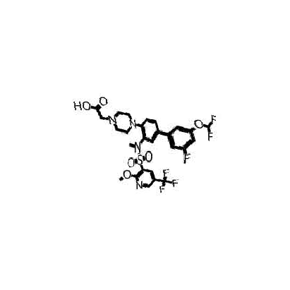 COc1ncc(C(F)(F)F)cc1S(=O)(=O)N(C)c1cc(-c2cc(F)cc(OC(F)F)c2)ccc1N1CCN(CC(=O)O)CC1